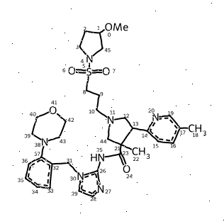 COC1CCN(S(=O)(=O)CCCN2CC(c3ccc(C)cn3)C(C)(C(=O)Nc3nccn3Cc3ccccc3N3CCOCC3)C2)C1